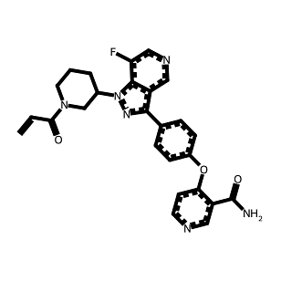 C=CC(=O)N1CCCC(n2nc(-c3ccc(Oc4ccncc4C(N)=O)cc3)c3cncc(F)c32)C1